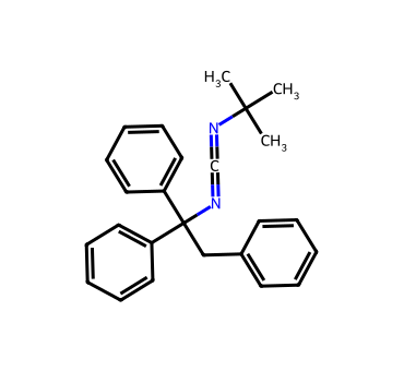 CC(C)(C)N=C=NC(Cc1ccccc1)(c1ccccc1)c1ccccc1